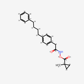 CC1(C(=O)ONC(=O)Cc2ccc(CCCCc3ccccc3)cc2)CC1